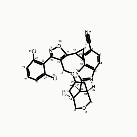 N#Cc1ccc2nc([C@@]3(O)[C@@H]4COC[C@H]3CC(OCc3c(-c5c(Cl)cccc5Cl)noc3C3CC3)C4)sc2c1